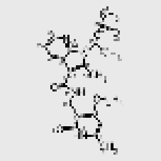 COc1cc(C)[nH]c(=O)c1CNC(=O)c1c(C)n(C(C)CC(N)=O)c2ncccc12